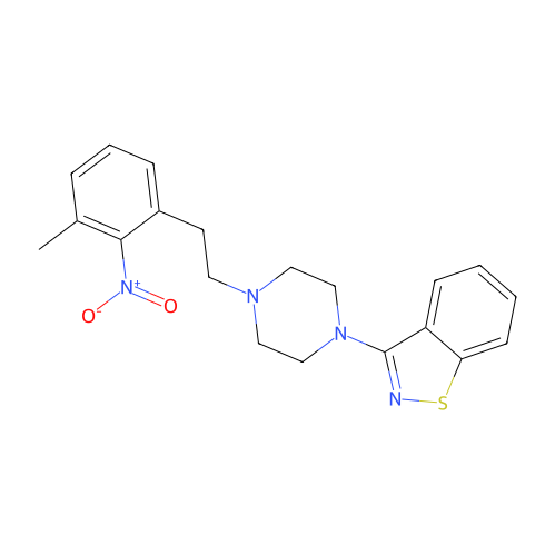 Cc1cccc(CCN2CCN(c3nsc4ccccc34)CC2)c1[N+](=O)[O-]